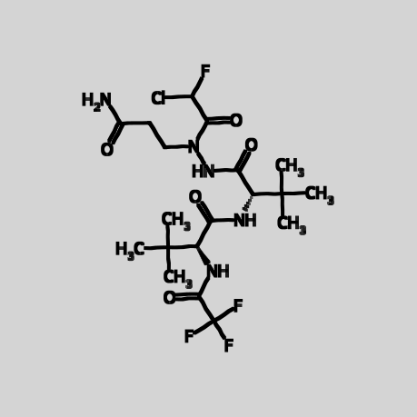 CC(C)(C)[C@H](NC(=O)[C@@H](NC(=O)C(F)(F)F)C(C)(C)C)C(=O)NN(CCC(N)=O)C(=O)C(F)Cl